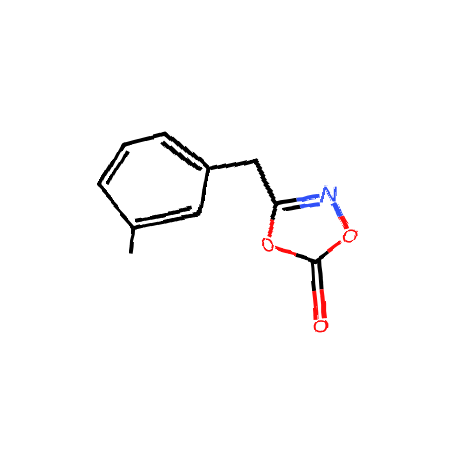 Cc1cccc(Cc2noc(=O)o2)c1